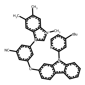 Cc1cc2c(cc1C)[n+](C)cn2-c1cc(C#N)cc(Oc2ccc3c4ccccc4n(-c4cc(C(C)(C)C)ccn4)c3c2)c1